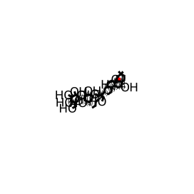 CCCC[C@H](O[C@@H]1C[C@H](C)[C@H](O)[C@H](O[C@@H]2OC(CO)[C@@H](O)C(O)C2O)[C@H]1O)[C@@](C)(CO)[C@@H]1CC[C@]2(C)[C@H](C=C[C@]34OC[C@@]5(CCC(C)(C)C[C@H]53)[C@@H](O)C[C@]42C)C1